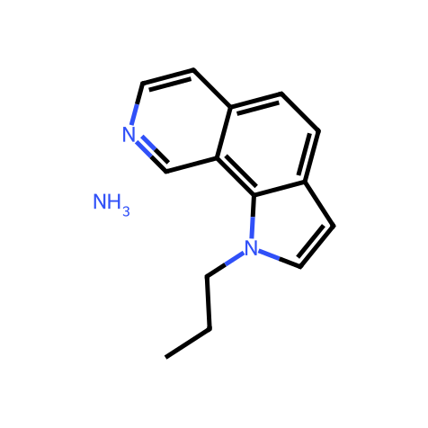 CCCn1ccc2ccc3ccncc3c21.N